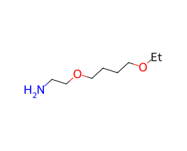 CCOCCCCOCCN